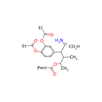 CCCC(C)C(=O)OC(C)C(C)C(c1ccc(OC(=O)CC)c(OC(=O)CC)c1)[C@H](N)C(=O)O